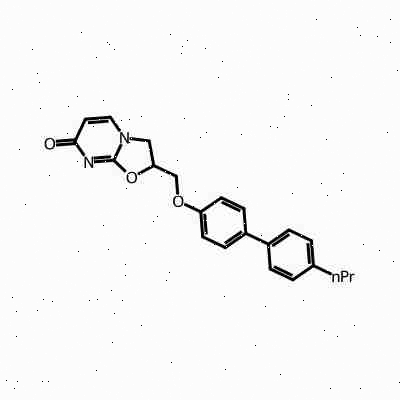 CCCc1ccc(-c2ccc(OCC3Cn4ccc(=O)nc4O3)cc2)cc1